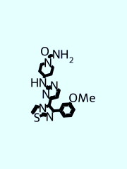 COc1cccc(C2N=C3SC=CN3C2c2ccnc(NC3CCN(C(N)=O)CC3)n2)c1